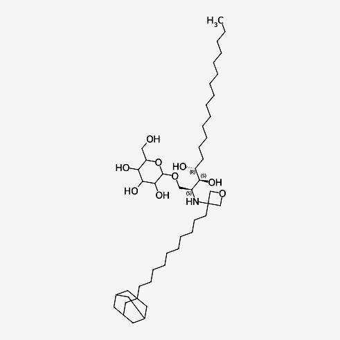 CCCCCCCCCCCCCC[C@@H](O)[C@@H](O)[C@H](COC1OC(CO)C(O)C(O)C1O)NC1(CCCCCCCCCCC23CC4CC(CC(C4)C2)C3)COC1